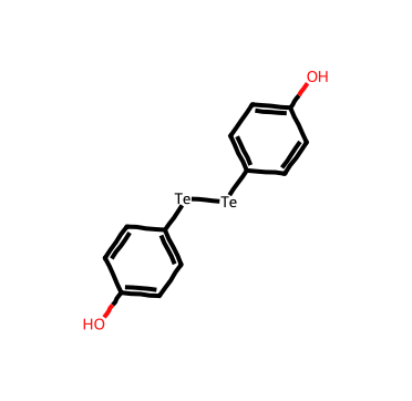 Oc1ccc([Te][Te]c2ccc(O)cc2)cc1